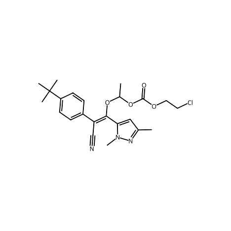 Cc1cc(/C(OC(C)OC(=O)OCCCl)=C(\C#N)c2ccc(C(C)(C)C)cc2)n(C)n1